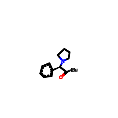 CC(C)(C)C(=O)[C@@H](c1ccccc1)N1CCCC1